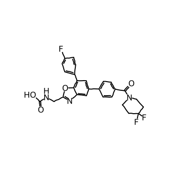 O=C(O)NCc1nc2cc(-c3ccc(C(=O)N4CCC(F)(F)CC4)cc3)cc(-c3ccc(F)cc3)c2o1